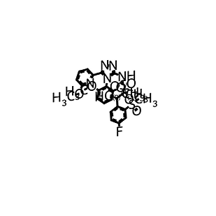 COc1cccc(-c2nnc(NS(=O)(=O)[C@H](C)[C@H](O)c3ccc(F)cc3S(C)(=O)=O)n2-c2c(OC)cccc2OC)n1